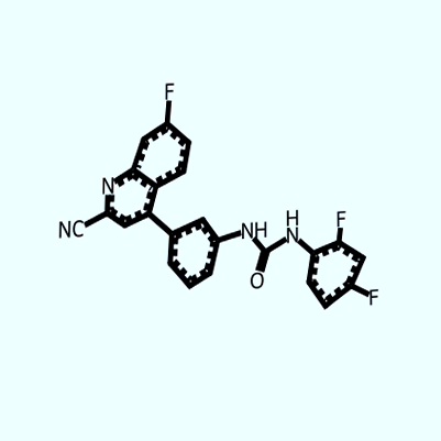 N#Cc1cc(-c2cccc(NC(=O)Nc3ccc(F)cc3F)c2)c2ccc(F)cc2n1